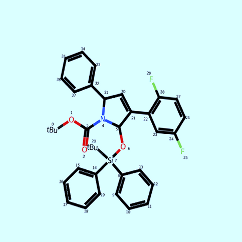 CC(C)(C)OC(=O)N1C(O[Si](c2ccccc2)(c2ccccc2)C(C)(C)C)C(c2cc(F)ccc2F)=CC1c1ccccc1